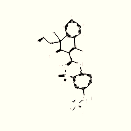 C=CCC1(C)C(=O)C(C2=NS(=O)(=O)c3cc(NS(C)(=O)=O)ccc3N2)=C(O)c2ccccc21